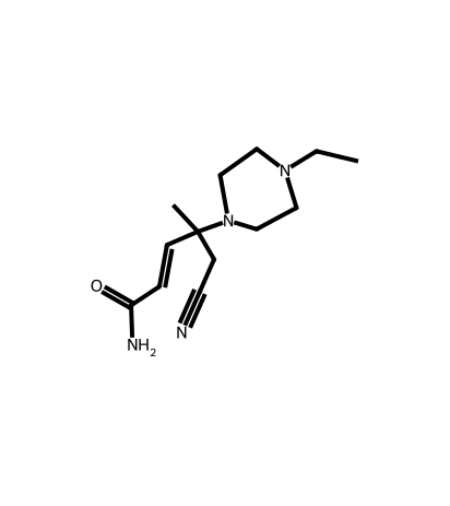 CCN1CCN(C(C)(C=CC(N)=O)CC#N)CC1